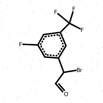 O=CC(Br)c1cc(F)cc(C(F)(F)F)c1